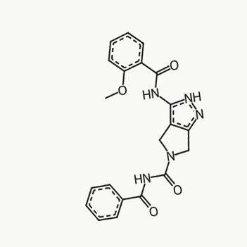 COc1ccccc1C(=O)Nc1[nH]nc2c1CN(C(=O)NC(=O)c1ccccc1)C2